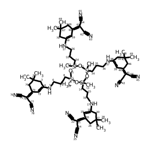 CC1(C)CC(NCCC[Si]2(C)O[Si](C)(CCCNC3=CC(=C(C#N)C#N)CC(C)(C)C3)O[Si](C)(CCCNC3=CC(=C(C#N)C#N)CC(C)(C)C3)O[Si](C)(CCCNC3=CC(=C(C#N)C#N)CC(C)(C)C3)O2)=CC(=C(C#N)C#N)C1